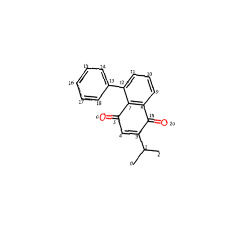 CC(C)C1=CC(=O)c2c(cccc2-c2ccccc2)C1=O